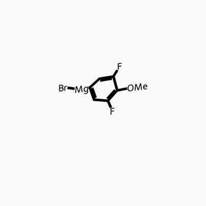 COc1c(F)c[c]([Mg][Br])cc1F